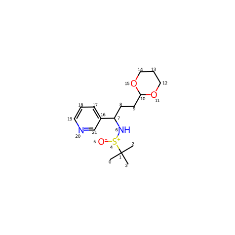 CC(C)(C)[S+]([O-])NC(CCC1OCCCO1)c1cccnc1